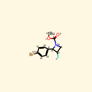 CC(C)(C)OC(=O)N1CC(F)C1c1ccc(Br)cc1